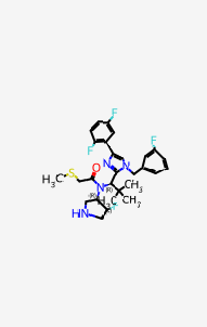 CSCC(=O)N([C@@H]1CNC[C@@H]1F)[C@@H](c1nc(-c2cc(F)ccc2F)cn1Cc1cccc(F)c1)C(C)(C)C